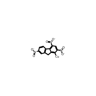 O=[N+]([O-])c1ccc2c(c1)Cc1[c]([Cu])c([N+](=O)[O-])cc([N+](=O)[O-])c1-2